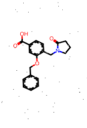 O=C(O)c1ccc(CN2CCCC2=O)c(OCc2ccccc2)c1